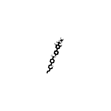 CCCC1CCC(C2CCC(C(=O)Oc3ccc(-c4cc(F)c(C(F)(F)OC(F)(F)F)c(F)c4)cc3)CC2)OC1